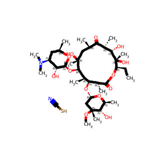 CC[C@H]1OC(=O)[C@H](C)[C@@H](O[C@H]2C[C@@](C)(OC)[C@@H](O)[C@H](C)O2)[C@@H](C)[C@@H](O[C@@H]2O[C@H](C)C[C@H](N(C)C)[C@H]2O)[C@](C)(O)C[C@@H](C)C(=O)[C@H](C)[C@H](O)[C@]1(C)O.N#CS